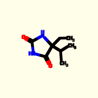 CCC1(C(C)C)NC(=O)NC1=O